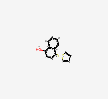 Oc1ccc([SH]2C=CC=C2)c2ccccc12